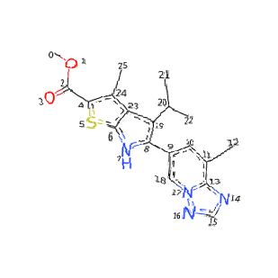 COC(=O)c1sc2[nH]c(-c3cc(C)c4ncnn4c3)c(C(C)C)c2c1C